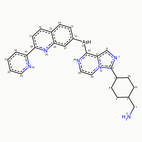 NCC1CCC(c2ncc3c([AsH]c4ccc5ccc(-c6ccccn6)nc5c4)nccn23)CC1